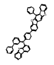 C1=C(c2ccc3c(c2)oc2c(-c4ccccc4)c4c(cc23)oc2ccccc24)CCC(N(c2cccc(-c3ccccc3)c2)c2cccc3c2sc2ccccc23)=C1